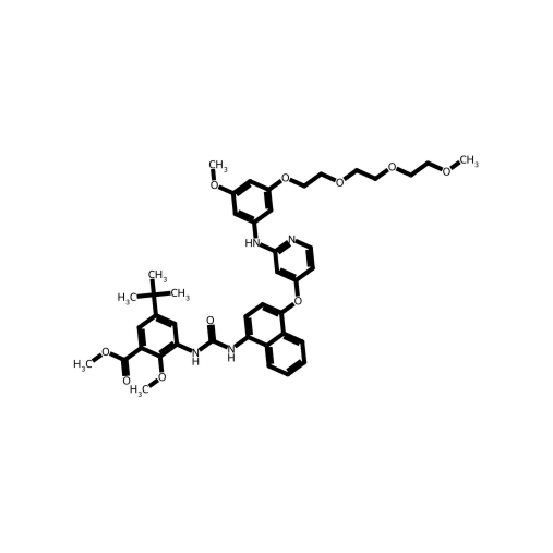 COCCOCCOCCOc1cc(Nc2cc(Oc3ccc(NC(=O)Nc4cc(C(C)(C)C)cc(C(=O)OC)c4OC)c4ccccc34)ccn2)cc(OC)c1